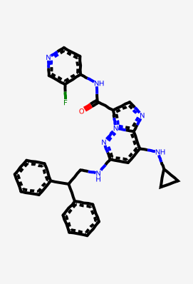 O=C(Nc1ccncc1F)c1cnc2c(NC3CC3)cc(NCC(c3ccccc3)c3ccccc3)nn12